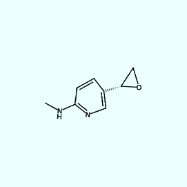 CNc1ccc([C@@H]2CO2)cn1